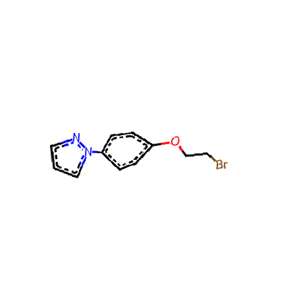 BrCCOc1ccc(-n2cccn2)cc1